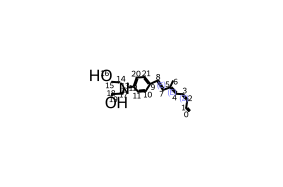 C=C\C=C/C=C(C)/C=C/c1ccc(N(CCO)CCO)cc1